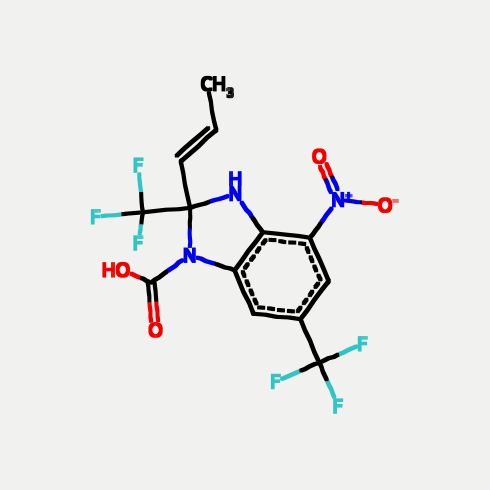 CC=CC1(C(F)(F)F)Nc2c(cc(C(F)(F)F)cc2[N+](=O)[O-])N1C(=O)O